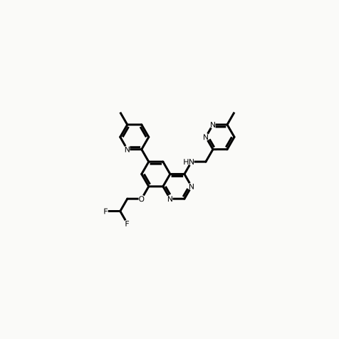 Cc1ccc(-c2cc(OCC(F)F)c3ncnc(NCc4ccc(C)nn4)c3c2)nc1